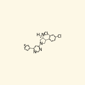 NC1CN(c2cc(-c3ccsc3)ncn2)CC1c1ccc(Cl)cc1Cl